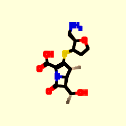 C[C@H]1C(S[C@@H]2CCO[C@@H]2CN)=C(C(=O)O)N2C(=O)[C@H]([C@@H](C)O)C12